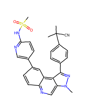 Cn1nc(-c2ccc(C(C)(C)C#N)cc2)c2c3cc(-c4ccc(NS(C)(=O)=O)nc4)ccc3ncc21